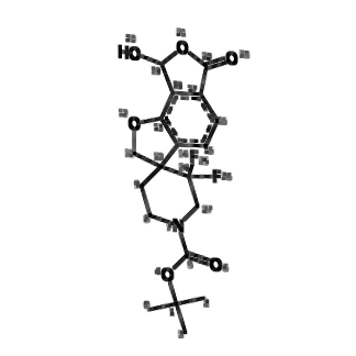 CC(C)(C)OC(=O)N1CCC2(COc3c2ccc2c3C(O)OC2=O)C(F)(F)C1